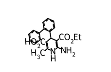 CCOC(=O)C1=C(N)NC(C)=C(C(=O)O)C1c1ccccc1-c1ccccc1